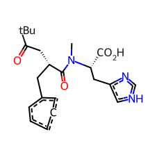 CN(C(=O)[C@@H](CC(=O)C(C)(C)C)Cc1ccccc1)[C@@H](Cc1c[nH]cn1)C(=O)O